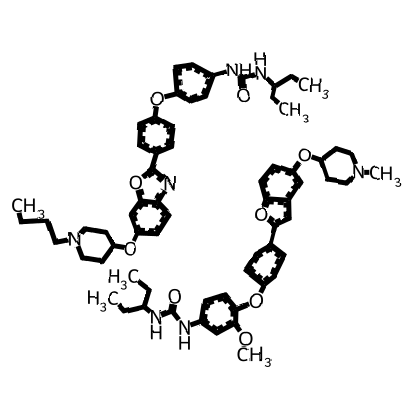 CCC(CC)NC(=O)Nc1ccc(Oc2ccc(-c3cc4cc(OC5CCN(C)CC5)ccc4o3)cc2)c(OC)c1.CCCCN1CCC(Oc2ccc3nc(-c4ccc(Oc5ccc(NC(=O)NC(CC)CC)cc5)cc4)oc3c2)CC1